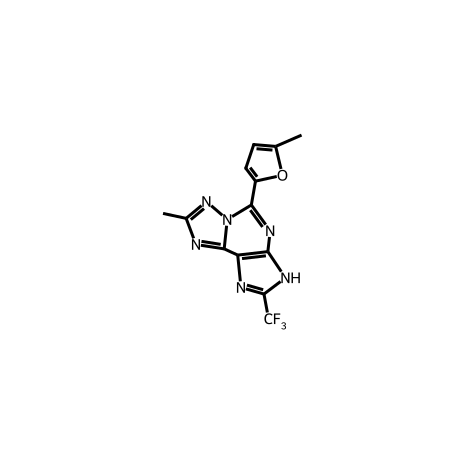 Cc1nc2c3nc(C(F)(F)F)[nH]c3nc(-c3ccc(C)o3)n2n1